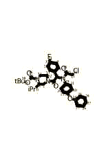 CC(C)C1CN(C(=O)C(c2ccc(F)cc2)N(C(=O)CCl)c2ccc(Oc3ccccc3)cc2)CCN1C(=O)OC(C)(C)C